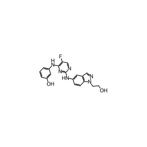 OCCn1ncc2cc(Nc3ncc(F)c(Nc4cccc(O)c4)n3)ccc21